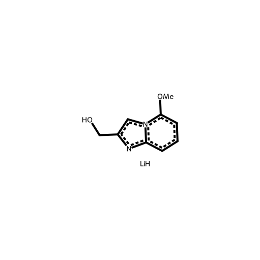 COc1cccc2nc(CO)cn12.[LiH]